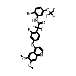 COc1cc2nccc(Oc3ccc(C(F)(F)C(=O)Nc4cc(OC(F)(F)F)ccc4Br)c(F)c3)c2cc1OC